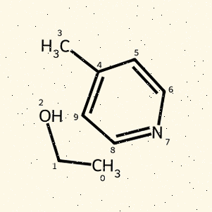 CCO.Cc1ccncc1